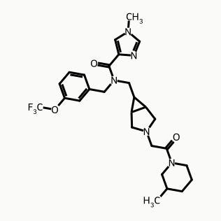 CC1CCCN(C(=O)CN2CC3C(C2)C3CN(Cc2cccc(OC(F)(F)F)c2)C(=O)c2cn(C)cn2)C1